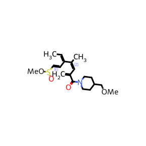 C=C(/C=C(/C)C(=CC)/C=C/S(=O)OC)C(=O)N1CCC(COC)CC1